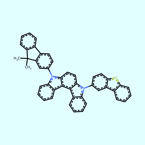 CC1(C)c2ccccc2-c2ccc(-n3c4ccccc4c4c5c6ccccc6n(-c6ccc7sc8ccccc8c7c6)c5ccc43)cc21